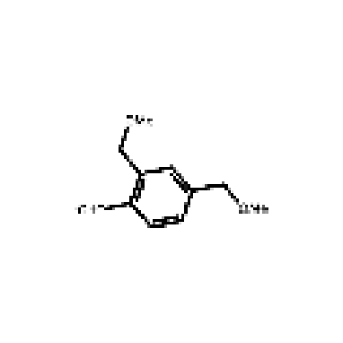 COCc1ccc([C]=O)c(COC)c1